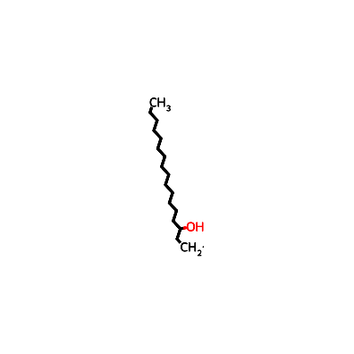 [CH2]CC(O)CCCCCCCCCCCCCC